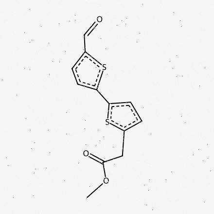 COC(=O)Cc1ccc(-c2ccc(C=O)s2)s1